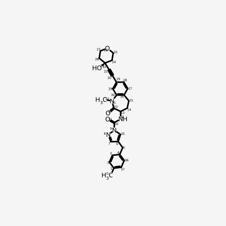 Cc1ccc(Cc2cnn(C(=O)NC3CCc4ccc(C#CC5(O)CCOCC5)cc4N(C)C3=O)c2)cc1